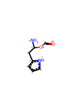 NC(Cc1ccc[nH]1)OC=O